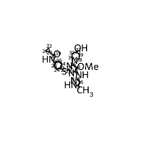 COc1c(Nc2cc(C)[nH]n2)nc(Sc2ccc(NC(=O)C3CC3)cc2)nc1N1CCC(O)CC1